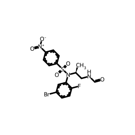 C[C@@H](CNC=O)N(c1cc(Br)ccc1F)S(=O)(=O)c1ccc([N+](=O)[O-])cc1